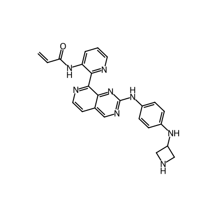 C=CC(=O)Nc1cccnc1-c1nccc2cnc(Nc3ccc(NC4CNC4)cc3)nc12